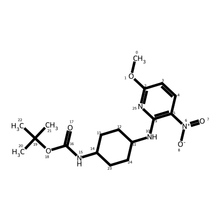 COc1ccc([N+](=O)[O-])c(NC2CCC(NC(=O)OC(C)(C)C)CC2)n1